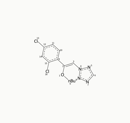 CCCCO/C(=C\n1ncnn1)c1ccc(Cl)cc1Cl